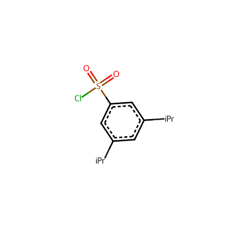 CC(C)c1cc(C(C)C)cc(S(=O)(=O)Cl)c1